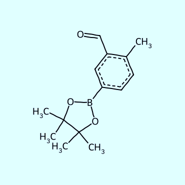 Cc1ccc(B2OC(C)(C)C(C)(C)O2)cc1C=O